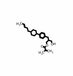 C=C(C)C(=O)OCC(CO)Cc1ccc(C2CCC(CC/C=C/C)CC2)cc1